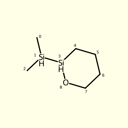 C[SiH](C)[SiH]1CCCCO1